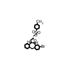 Cc1ccc(S(=O)(=O)OC[C@H]2C[C@@H]3c4ccccc4Cc4ccc(Br)cc4[C@H]3O2)cc1